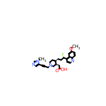 COc1ccc2nccc(C(F)CC[C@@H]3CCN(CC#Cc4cncn4C)C[C@@H]3CC(=O)O)c2c1